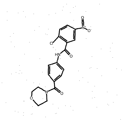 O=C(Nc1ccc(C(=O)N2CCOCC2)cc1)c1cc([N+](=O)[O-])ccc1Cl